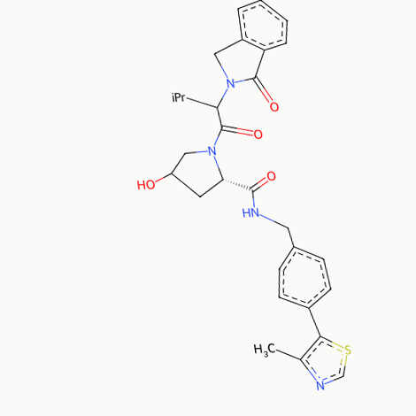 Cc1ncsc1-c1ccc(CNC(=O)[C@@H]2CC(O)CN2C(=O)C(C(C)C)N2Cc3ccccc3C2=O)cc1